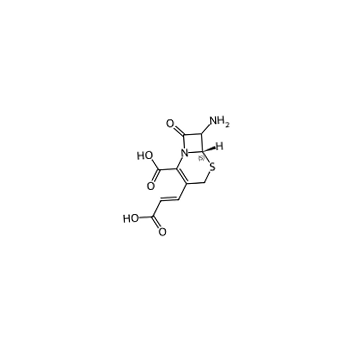 NC1C(=O)N2C(C(=O)O)=C(C=CC(=O)O)CS[C@@H]12